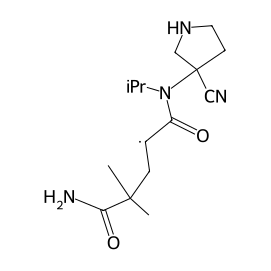 CC(C)N(C(=O)[CH]CC(C)(C)C(N)=O)C1(C#N)CCNC1